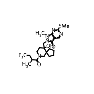 CSc1ncc2c(=O)n(CC3(O)CCN(C(=O)C(C)CC(F)(F)F)CC34CCCC4)n(C)c2n1